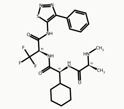 CN[C@@H](C)C(=O)N[C@H](C(=O)N[C@H](C(=O)Nc1snnc1-c1ccccc1)C(F)(F)F)C1CCCCC1